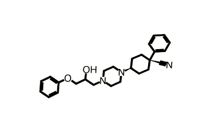 N#C[C@]1(c2ccccc2)CC[C@H](N2CCN(CC(O)COc3ccccc3)CC2)CC1